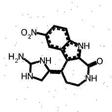 NC1NCC(=C2CCNC(=O)c3[nH]c4ccc([N+](=O)[O-])cc4c32)N1